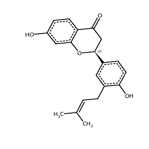 CC(C)=CCc1cc([C@@H]2CC(=O)c3ccc(O)cc3O2)ccc1O